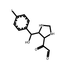 O=CC(=O)C1NCNC1C(O)c1ccc(I)cc1